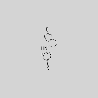 N#Cc1cnc(NC2CCCc3cc(F)ccc32)nc1